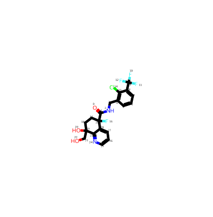 O=C(NCc1cccc(C(F)(F)F)c1Cl)C1(F)CCC(O)(CO)c2ncccc21